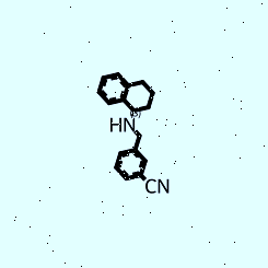 N#Cc1cccc(CN[C@H]2CCCc3ccccc32)c1